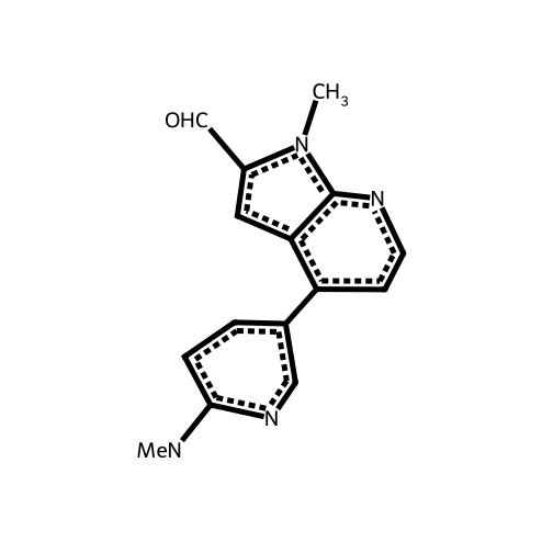 CNc1ccc(-c2ccnc3c2cc(C=O)n3C)cn1